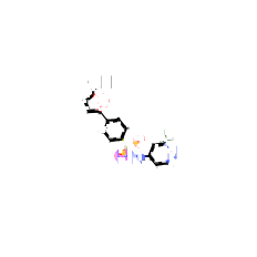 Cc1ccc(-c2ccc(S(=O)(=O)Nc3ccnc(Cl)c3)cc2)o1